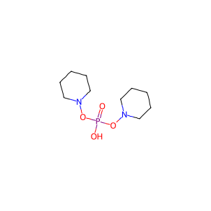 O=P(O)(ON1CCCCC1)ON1CCCCC1